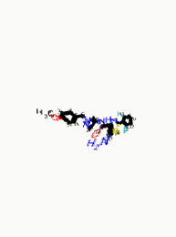 COc1ccc(Cn2cc(NC(=O)c3nc(-c4c(F)cccc4F)sc3N)cn2)cc1